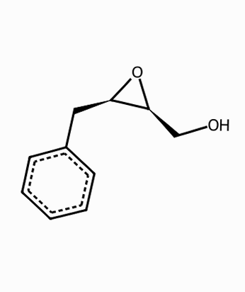 OC[C@@H]1O[C@@H]1Cc1ccccc1